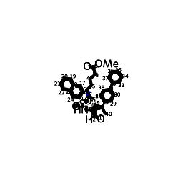 COC(=O)CCC/C=C\C[C@H]1[C@H](NS(=O)(=O)c2ccc3ccccc3c2)[C@@H]2C[C@@]1(c1ccc(-c3ccccc3)cc1)CO2